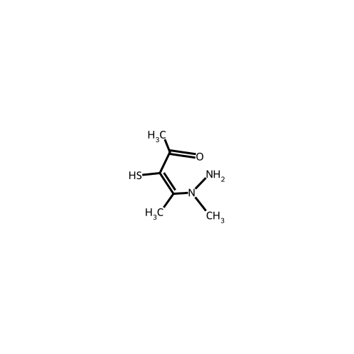 CC(=O)/C(S)=C(/C)N(C)N